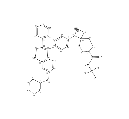 CC(C)(C)OC(=O)N1CCC2(CC1)CNC2c1ccc(C2=C(c3ccccc3)COc3cc(OC4CCCCO4)ccc32)cc1